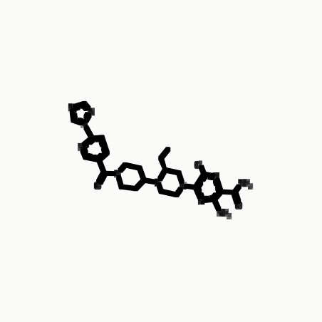 CC[C@H]1CN(c2nc(N)c(C(N)=O)nc2Cl)CCN1C1CCN(C(=O)c2ccc(-n3cncn3)nc2)CC1